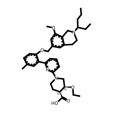 CCCC(CC)N1CCc2cc(COc3ccc(C)cc3-c3cccc(N4CC[C@H](C(=O)O)[C@H](OCC)C4)n3)cc(OC)c2C1